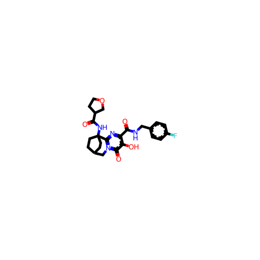 O=C(NCc1ccc(F)cc1)c1nc2n(c(=O)c1O)CC1CCC2(NC(=O)C2CCOC2)CC1